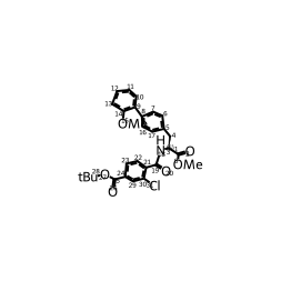 COC(=O)[C@H](Cc1ccc(-c2ccccc2OC)cc1)NC(=O)c1ccc(C(=O)OC(C)(C)C)cc1Cl